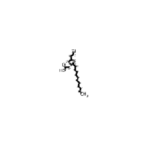 CCCCCCCCCCCC1=NC(CCO)CN1CC(=O)O